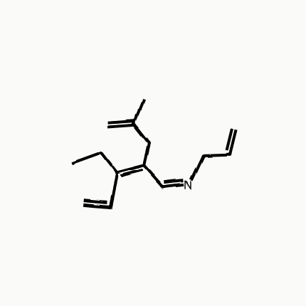 C=CC/N=C\C(CC(=C)C)=C(/C=C)CC